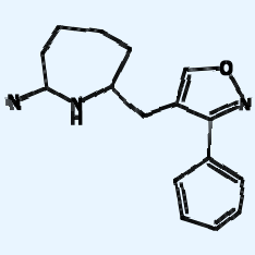 [N]C1CCCCC(Cc2conc2-c2ccccc2)N1